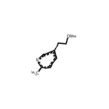 COCCc1ccc(C)nc1